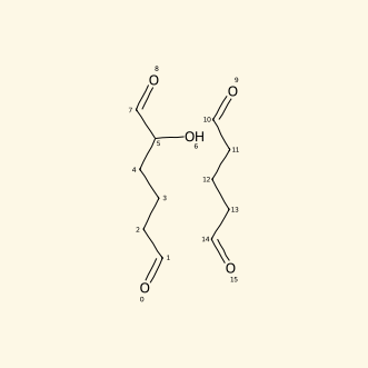 O=CCCCC(O)C=O.O=CCCCC=O